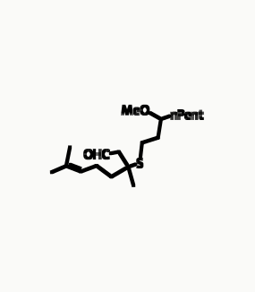 CCCCCC(CCSC(C)(CC=O)CCC=C(C)C)OC